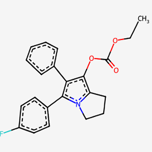 CCOC(=O)Oc1c(-c2ccccc2)c(-c2ccc(F)cc2)n2c1CCC2